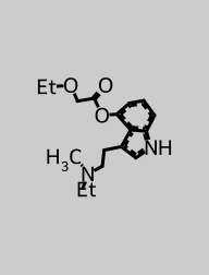 CCOCC(=O)Oc1cccc2[nH]cc(CCN(C)CC)c12